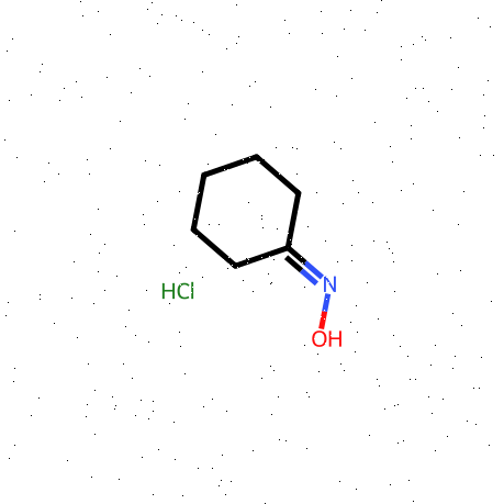 Cl.ON=C1CCCCC1